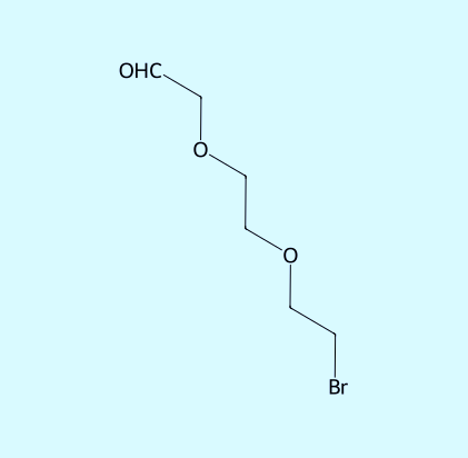 O=CCOCCOCCBr